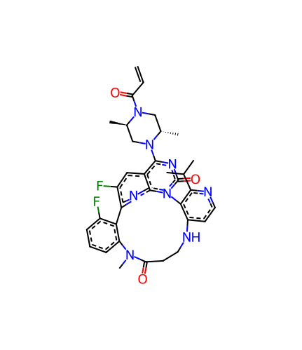 C=CC(=O)N1C[C@H](C)N(c2nc(=O)n3c4nc(c(F)cc24)-c2c(F)cccc2N(C)C(=O)CCNc2ccnc(C(C)C)c2-3)C[C@H]1C